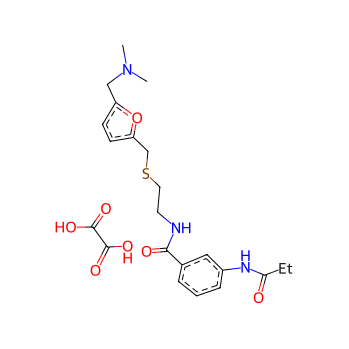 CCC(=O)Nc1cccc(C(=O)NCCSCc2ccc(CN(C)C)o2)c1.O=C(O)C(=O)O